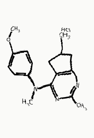 COc1ccc(N(C)c2nc(C)nc3c2CC(C)C3)cc1.Cl